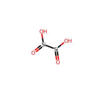 O=[Si](O)[Si](=O)O